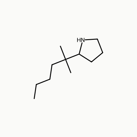 CCCCC(C)(C)C1CCCN1